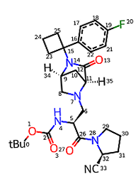 CC(C)(C)OC(=O)N[C@@H](CN1C[C@@H]2C[C@H]1C(=O)N2C1(c2ccc(F)cc2)CCC1)C(=O)N1CCC[C@H]1C#N